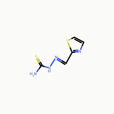 NC(=S)NN=Cc1nccs1